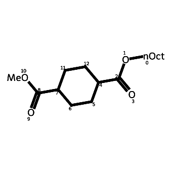 CCCCCCCCOC(=O)C1CCC(C(=O)OC)CC1